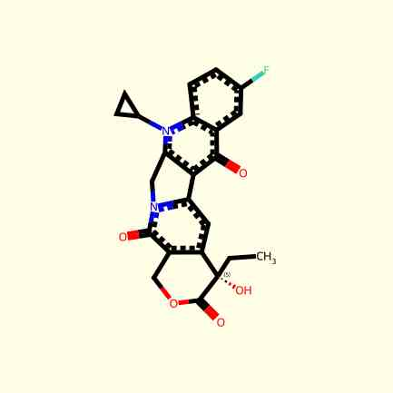 CC[C@@]1(O)C(=O)OCc2c1cc1n(c2=O)Cc2c-1c(=O)c1cc(F)ccc1n2C1CC1